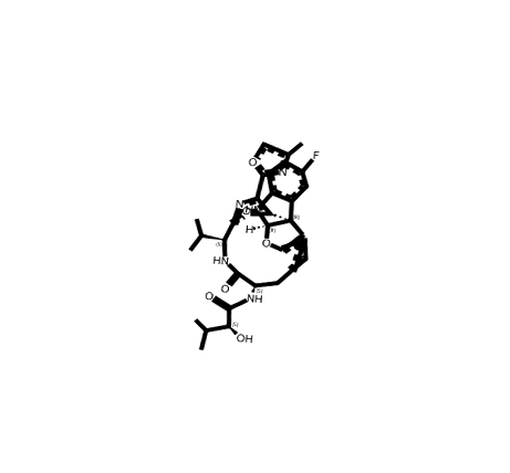 Cc1coc(-c2nc3oc2[C@@]24c5cc(F)ccc5N[C@@H]2Oc2ccc(cc24)C[C@H](NC(=O)[C@@H](O)C(C)C)C(=O)N[C@H]3C(C)C)n1